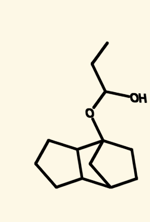 CCC(O)OC12CCC(C1)C1CCCC12